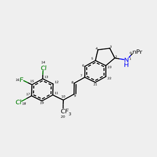 CCCNC1CCc2cc(/C=C/C(c3cc(Cl)c(F)c(Cl)c3)C(F)(F)F)ccc21